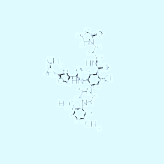 Cc1ccc(C)c(N2CCN(c3cc(Cl)c(C(=O)NCCCN4CCCC4=O)cc3NC(=O)c3coc(C4CC4C)n3)CC2)c1